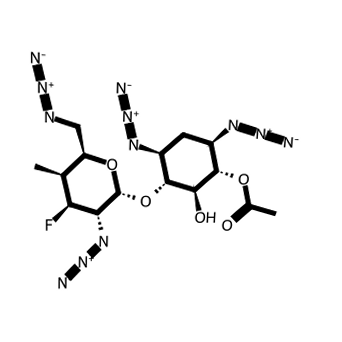 CC(=O)O[C@@H]1[C@@H](O)[C@H](O[C@H]2O[C@H](CN=[N+]=[N-])[C@H](C)[C@H](F)[C@H]2N=[N+]=[N-])[C@@H](N=[N+]=[N-])C[C@H]1N=[N+]=[N-]